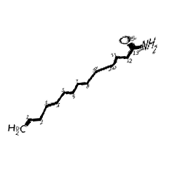 C=CCCCCCCCCCCCC(N)=O